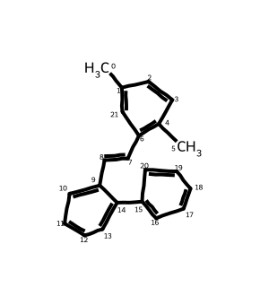 Cc1ccc(C)c(C=Cc2ccccc2-c2ccccc2)c1